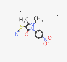 CCn1c(C)c(SC#N)c(=O)n1-c1ccc([N+](=O)[O-])cc1